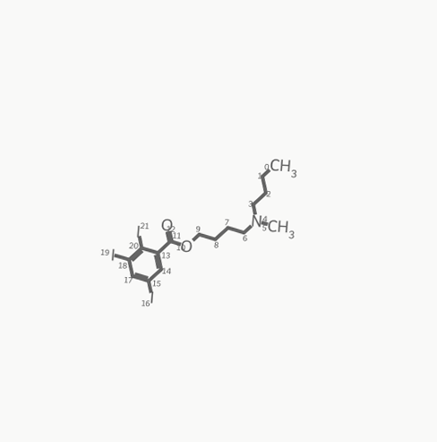 CCCCN(C)CCCCOC(=O)c1cc(I)cc(I)c1I